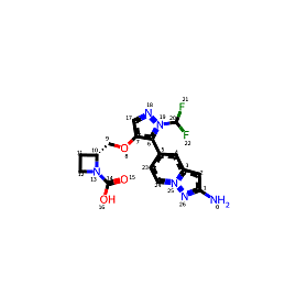 Nc1cc2cc(-c3c(OC[C@H]4CCN4C(=O)O)cnn3C(F)F)ccn2n1